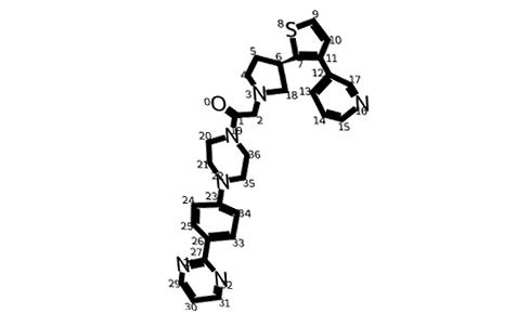 O=C(CN1CC[C@@H](c2sccc2-c2cccnc2)C1)N1CCN(c2ccc(-c3ncccn3)cc2)CC1